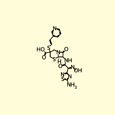 Nc1nc(C(=NO)C(=O)NC2C(=O)N3CC(SC=Cc4cccnc4)(C(=O)O)CS[C@H]23)ns1